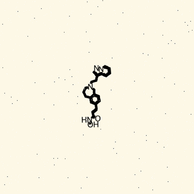 O=C(C=Cc1ccc2c(c1)CCCN(CCc1cnn3ccccc13)C2)NO